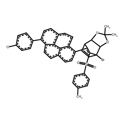 Cc1ccc(S(=O)(=O)C2=C(c3ccc4ccc5c(-c6ccc(Cl)cc6)ccc6ccc3c4c65)C3C=CC2(Br)C2OC(C)(C)OC32)cc1